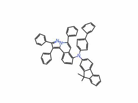 CC1(C)c2ccccc2-c2ccc(N(c3ccc(-c4ccccc4)cc3)c3cccc4c3cc(-c3ccccc3)n3nc(-c5ccccc5)c(-c5ccccc5)c43)cc21